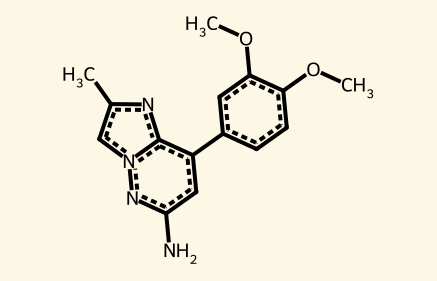 COc1ccc(-c2cc(N)nn3cc(C)nc23)cc1OC